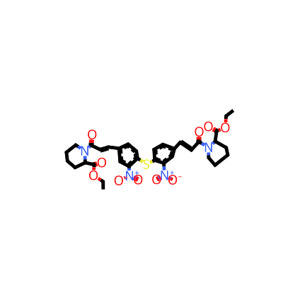 CCOC(=O)C1CCCCN1C(=O)/C=C/c1ccc(Sc2ccc(/C=C/C(=O)N3CCCCC3C(=O)OCC)cc2[N+](=O)[O-])c([N+](=O)[O-])c1